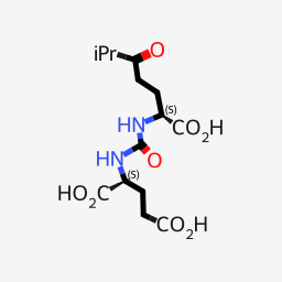 CC(C)C(=O)CC[C@H](NC(=O)N[C@@H](CCC(=O)O)C(=O)O)C(=O)O